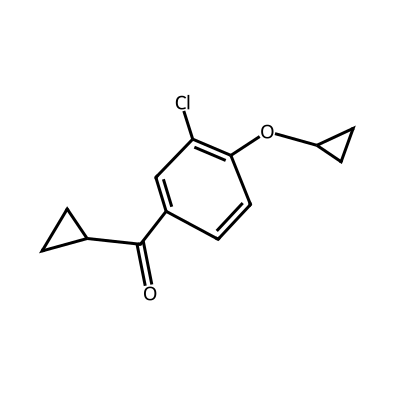 O=C(c1ccc(OC2CC2)c(Cl)c1)C1CC1